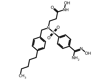 CCCCCc1ccc(CN(CCC(=O)NO)S(=O)(=O)c2ccc(/C(N)=N/O)cc2)cc1